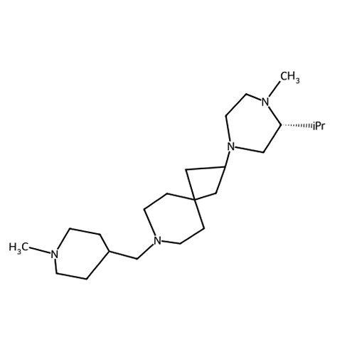 CC(C)[C@@H]1CN(C2CC3(CCN(CC4CCN(C)CC4)CC3)C2)CCN1C